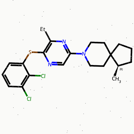 CCc1nc(N2CCC3(CCC[C@H]3C)CC2)cnc1Sc1cccc(Cl)c1Cl